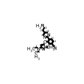 CCN(CC)c1cc(Oc2cc(C#N)ccc2-c2ncc(CCN)cn2)n(C)n1